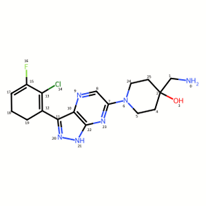 NCC1(O)CCN(c2cnc3c(C4=C(Cl)C(F)=CCC4)n[nH]c3n2)CC1